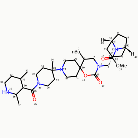 CCCCC1CN(C[C@H]2C[C@H]3CC[C@@H](C2)N3C(=O)OC)C(=O)OC12CCN(C1(C)CCN(C(=O)C3C(C)CCNC3C)CC1)CC2